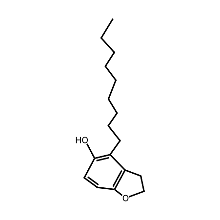 CCCCCCCCCc1c(O)ccc2c1CCO2